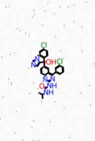 CC(C)NC(=O)Nc1nc(-c2cccc(Cl)c2)c2cc(C(O)(c3ccc(Cl)cc3)c3cncn3C)ccc2n1